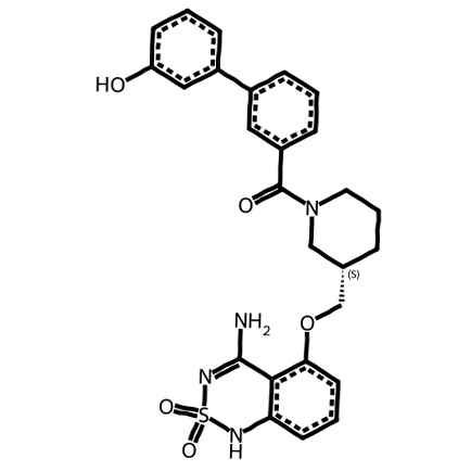 NC1=NS(=O)(=O)Nc2cccc(OC[C@H]3CCCN(C(=O)c4cccc(-c5cccc(O)c5)c4)C3)c21